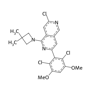 COc1cc(OC)c(Cl)c(-c2cc3cnc(Cl)cc3c(N3CC(C)(C)C3)n2)c1Cl